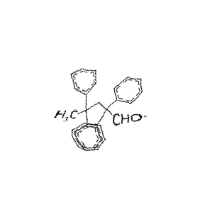 CC(CC([C]=O)(c1ccccc1)c1ccccc1)(c1ccccc1)c1ccccc1